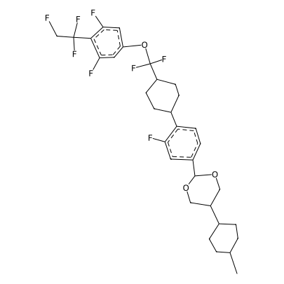 CC1CCC(C2COC(c3ccc(C4CCC(C(F)(F)Oc5cc(F)c(C(F)(F)CF)c(F)c5)CC4)c(F)c3)OC2)CC1